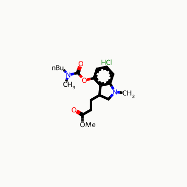 CCCCN(C)C(=O)Oc1cccc2c1C(CCC(=O)OC)CN2C.Cl